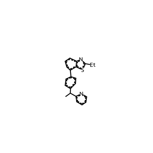 CCc1nc2cccc(-c3ccc(C(C)c4ccccn4)cc3)c2s1